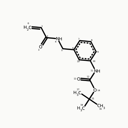 C=CC(=O)NCc1cccc(NC(=O)OC(C)(C)C)c1